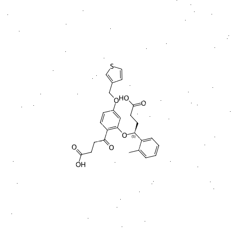 Cc1ccccc1[C@H](CCC(=O)O)Oc1cc(OCc2ccsc2)ccc1C(=O)CCC(=O)O